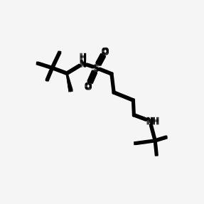 C[C@H](NS(=O)(=O)CCCCNC(C)(C)C)C(C)(C)C